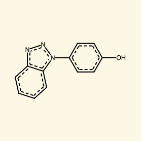 Oc1ccc(-n2nnc3ccccc32)cc1